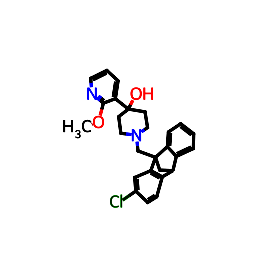 COc1ncccc1C1(O)CCN(CC23CC(c4ccccc42)c2ccc(Cl)cc23)CC1